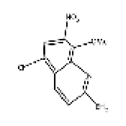 Bc1ccc2c(Cl)cc([N+](=O)[O-])c(OC)c2n1